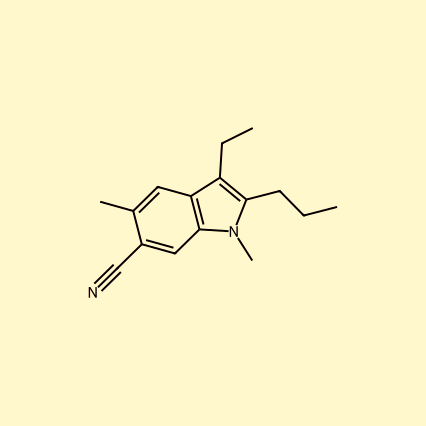 CCCc1c(CC)c2cc(C)c(C#N)cc2n1C